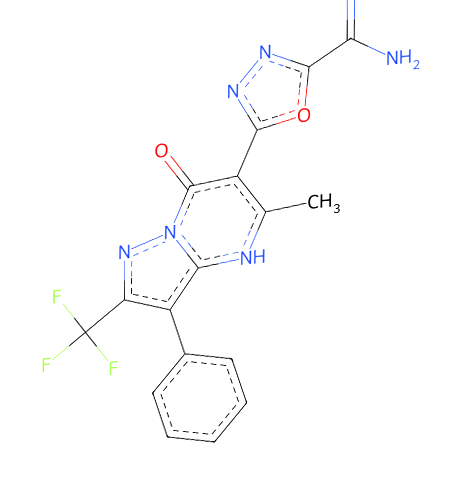 Cc1[nH]c2c(-c3ccccc3)c(C(F)(F)F)nn2c(=O)c1-c1nnc(C(=N)N)o1